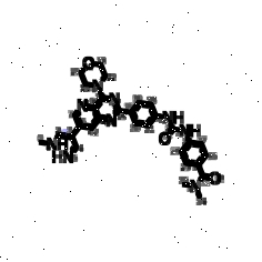 CN/C=C(\C=N)c1cnc2c(N3CCOCC3)nc(-c3ccc(NC(=O)Nc4ccc(C(=O)N(C)C)cc4)cc3)nc2c1